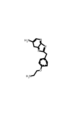 NCCOc1ccc(CC2=NC3=NC=C(N)CC3=N2)cc1